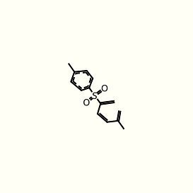 C=C(C)/C=C\C(=C)S(=O)(=O)c1ccc(C)cc1